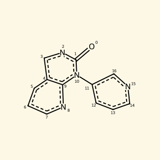 O=c1ncc2cccnc2n1-c1cccnc1